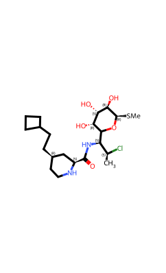 CS[C@H]1OC([C@H](NC(=O)[C@@H]2C[C@H](CCC3CCC3)CCN2)[C@H](C)Cl)[C@H](O)[C@H](O)[C@H]1O